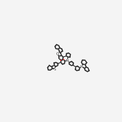 c1cc(-c2ccc(N(c3ccc(-c4ccc5c(c4)sc4ccccc45)cc3)c3ccccc3-c3cccc4oc5c6ccccc6ccc5c34)cc2)cc(-n2c3ccccc3c3ccccc32)c1